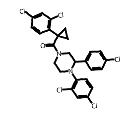 O=C(N1CCN(c2ccc(Cl)cc2Cl)C(c2ccc(Cl)cc2)C1)C1(c2ccc(Cl)cc2Cl)CC1